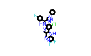 N#Cc1cnc2c(N[C@@H](c3ccc(F)cc3)c3cn(-c4ccccc4)nn3)cc(Cl)cc2c1Nc1cnc(F)c(F)c1